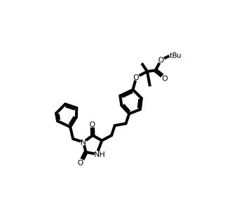 CC(C)(C)OC(=O)C(C)(C)Oc1ccc(CCCC2NC(=O)N(Cc3ccccc3)C2=O)cc1